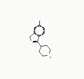 Bc1ccc2c(c1)CN=C2C1CCN(CC)CC1